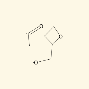 C[C]=O.[O]CC1CCO1